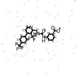 COC(=O)c1cccc(NC(=O)NCc2nccc(-c3ccc(C(F)(F)F)cc3)c2C(F)(F)F)c1